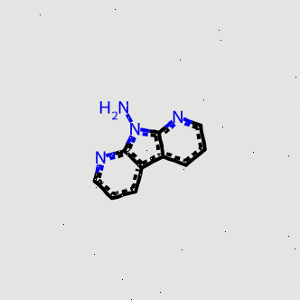 Nn1c2ncccc2c2cccnc21